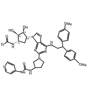 CCC(=O)N[C@H]1C[C@@H](n2cnc3c(NCC(c4ccc(OC)cc4)c4ccc(OC)cc4)nc(N4CCC(NC(=O)Nc5ccncc5)C4)nc32)[C@H](O)[C@@H]1O